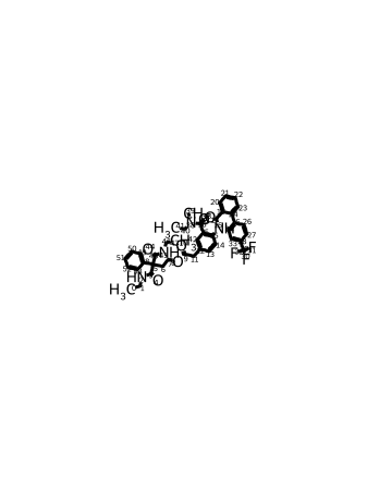 CCNC(=O)C(CCOC(=O)Cc1ccc(NC(=O)c2ccccc2-c2ccc(C(F)(F)F)cc2)c(C(=O)N(C)CC)c1)(C(=O)NCC)c1ccccc1